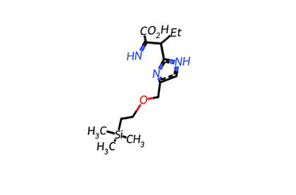 CCC(C(=N)C(=O)O)c1nc(COCC[Si](C)(C)C)c[nH]1